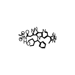 Cc1nnn(C)c1-c1cnc2c3c(c(CC(=O)NS(C)(=O)=O)nn3C)n(C(c3ccccc3)C3CCOCC3)c2c1